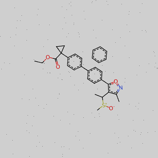 CCOC(=O)C1(c2ccc(-c3ccc(-c4onc(C)c4C(C)[S+](C)[O-])cc3)cc2)CC1.c1ccccc1